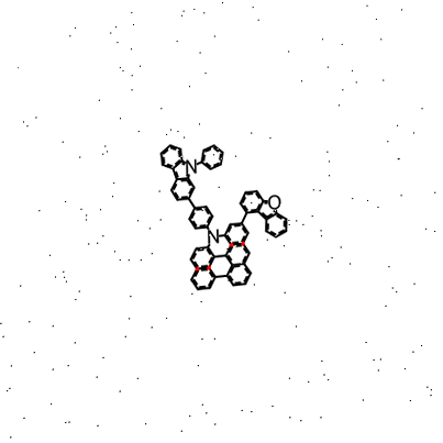 c1ccc(-c2cccc3cccc(-c4ccccc4N(c4ccc(-c5ccc6c7ccccc7n(-c7ccccc7)c6c5)cc4)c4cccc(-c5cccc6oc7ccccc7c56)c4)c23)cc1